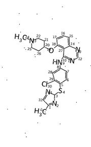 CC1=NC(Sc2ccc(Nc3ncnc4cccc(OC5CCN(C)CC5)c34)cc2Cl)N=C1